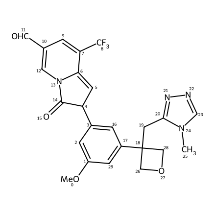 COc1cc(C2C=C3C(C(F)(F)F)=CC(C=O)=CN3C2=O)cc(C2(Cc3nncn3C)COC2)c1